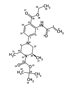 C=CC(=O)Nc1cc(N2CC(C)N(C(=O)OC(C)(C)C)[C@H](C)C2)ccc1C(=O)OCC